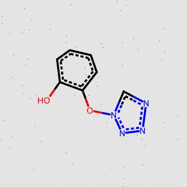 Oc1ccccc1On1cnnn1